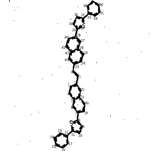 C(=C\c1ccc2cc(-c3ccc(-c4ccccc4)s3)ccc2c1)/c1ccc2cc(-c3ccc(-c4ccccc4)s3)ccc2c1